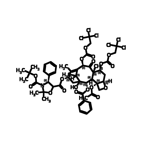 CC(=O)O[C@@]12CO[C@@H]1C[C@H](OC(=O)OCC(Cl)(Cl)Cl)[C@@]1(C)C(=O)[C@H](OC(=O)OCC(Cl)(Cl)Cl)C3=C(C)[C@@H](OC(=O)C4OC(C)(C)N(C(=O)OC(C)(C)C)[C@H]4c4ccccc4)C[C@](O)([C@@H]3C)[C@@H](OC(=O)c3ccccc3)[C@H]21